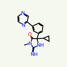 CN1C(=N)NC(c2cccc(-c3cnccn3)c2)(C2CC2)C1=O